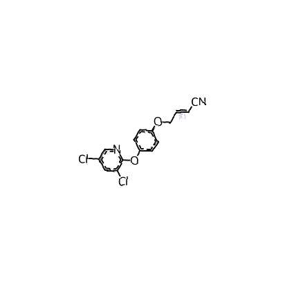 N#C/C=C/COc1ccc(Oc2ncc(Cl)cc2Cl)cc1